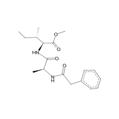 CC[C@H](C)[C@H](NC(=O)[C@H](C)NC(=O)Cc1ccccc1)C(=O)OC